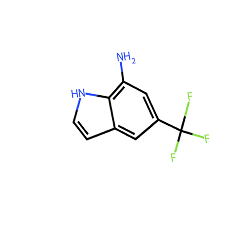 Nc1cc(C(F)(F)F)cc2cc[nH]c12